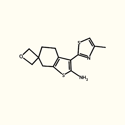 Cc1csc(-c2c(N)sc3c2CCC2(COC2)C3)n1